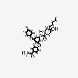 CCCCCC1(O)CCN(C(=O)Nc2cc(Oc3ccc(F)cc3)cc(Oc3ccc(C(N)=O)cc3)c2)CC1